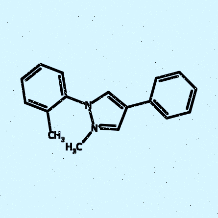 Cc1ccccc1-n1cc(-c2ccccc2)c[n+]1C